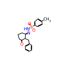 Cc1ccc(S(=O)(=O)NN=C2CCCC(=O)C2Cc2ccccc2)cc1